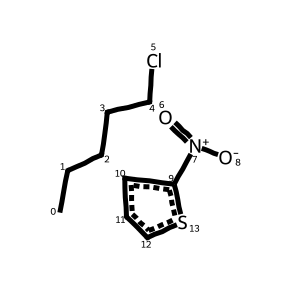 CCCCCCl.O=[N+]([O-])c1cccs1